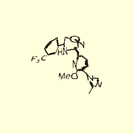 COc1nc(C2=NOCC(c3cccc(C(F)(F)F)c3)N2)ccc1-n1cnc(C)c1